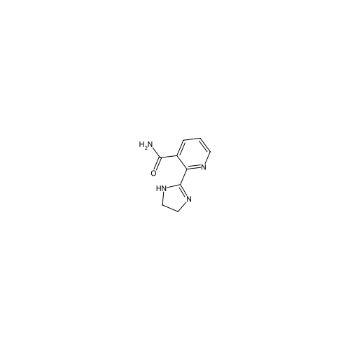 NC(=O)c1cccnc1C1=NCCN1